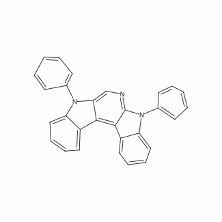 c1ccc(-n2c3ccccc3c3c4c5ccccc5n(-c5ccccc5)c4ncc32)cc1